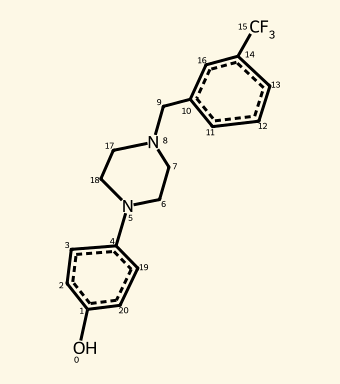 Oc1ccc(N2CCN(Cc3cccc(C(F)(F)F)c3)CC2)cc1